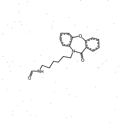 O=CNCCCCCCN1C(=O)c2ccccc2Oc2ccccc21